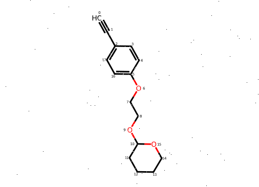 C#Cc1ccc(OCCOC2CCCCO2)cc1